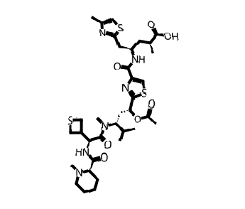 CC(=O)O[C@H](C[C@H](C(C)C)N(C)C(=O)[C@@H](NC(=O)[C@H]1CCCCN1C)C1CSC1)c1nc(C(=O)N[C@@H](Cc2nc(C)cs2)C[C@H](C)C(=O)O)cs1